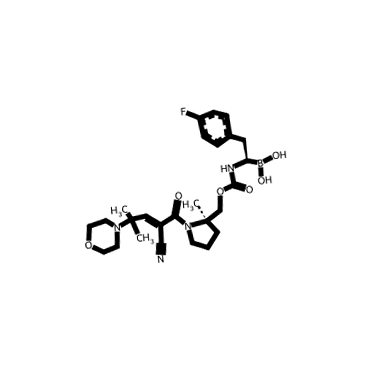 CC(C)(/C=C(\C#N)C(=O)N1CCC[C@]1(C)COC(=O)N[C@@H](Cc1ccc(F)cc1)B(O)O)N1CCOCC1